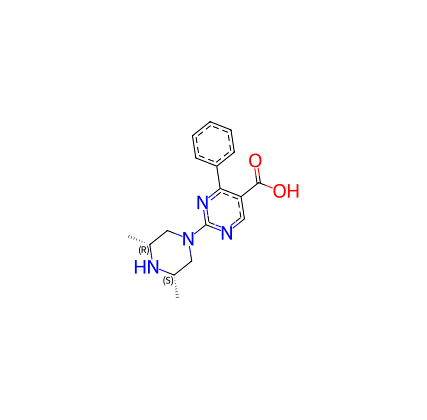 C[C@@H]1CN(c2ncc(C(=O)O)c(-c3ccccc3)n2)C[C@H](C)N1